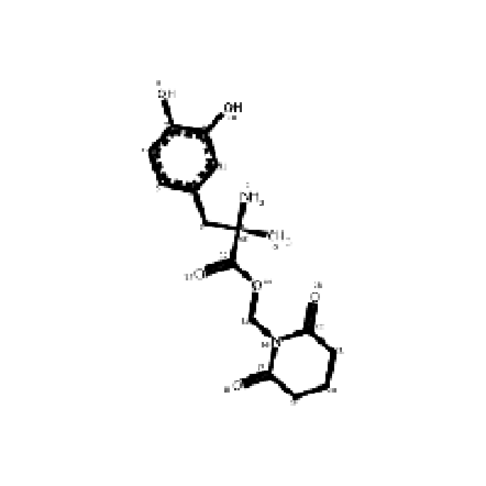 C[C@](N)(Cc1ccc(O)c(O)c1)C(=O)OCN1C(=O)CCCC1=O